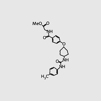 COC(=O)CNC(=O)c1ccc(O[C@H]2CC[C@H](NC(=O)Nc3ccc(C)cc3)CC2)cc1